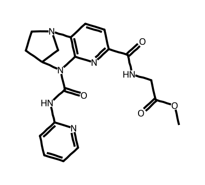 COC(=O)CNC(=O)c1ccc2c(n1)N(C(=O)Nc1ccccn1)C1CCN2C1